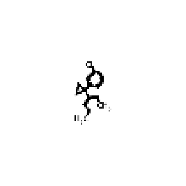 CC/C=C(\CC)C1(c2cccc(Cl)c2)CC1